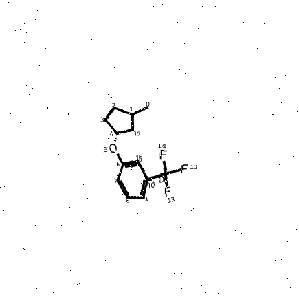 CC1CC[C@@H](Oc2cccc(C(F)(F)F)c2)C1